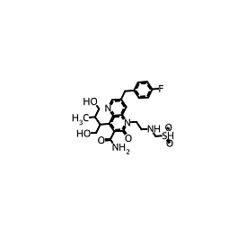 CC(CO)C(CO)c1c(C(N)=O)c(=O)n(CCNC[SH](=O)=O)c2cc(Cc3ccc(F)cc3)cnc12